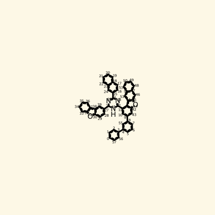 c1ccc(-c2cccc(-c3cc(C4=NC(c5ccc6ccccc6c5)=NC(c5ccc6oc7ccccc7c6c5)N4)c4c(c3)oc3cc5ccccc5cc34)c2)cc1